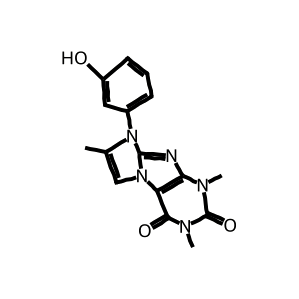 Cc1cn2c3c(=O)n(C)c(=O)n(C)c3nc2n1-c1cccc(O)c1